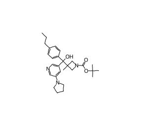 CCCc1ccc(C(O)(c2cncc(N3CCCC3)c2)C2(C)CN(C(=O)OC(C)(C)C)C2)cc1